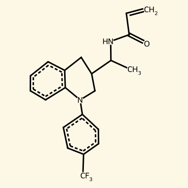 C=CC(=O)NC(C)C1Cc2ccccc2N(c2ccc(C(F)(F)F)cc2)C1